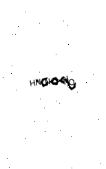 CNC1CCN(c2ccc(-c3cnn(C4CCCCO4)c3)cc2)CC1